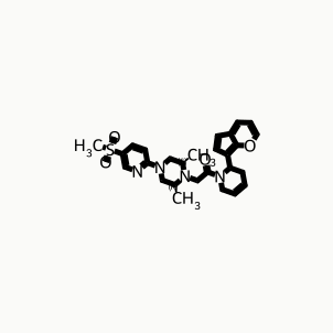 C[C@@H]1CN(c2ccc(S(C)(=O)=O)cn2)C[C@H](C)N1CC(=O)N1CC=CCC1c1ccc2cccoc1-2